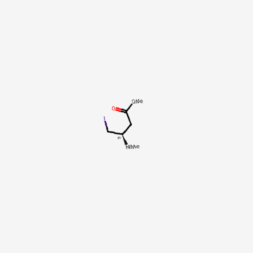 CN[C@@H](CI)CC(=O)OC